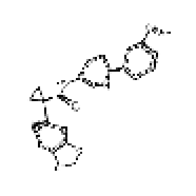 COc1cccc(-c2ccc(NC(=O)C3(c4ccc5c(c4)OCO5)CC3)cn2)c1